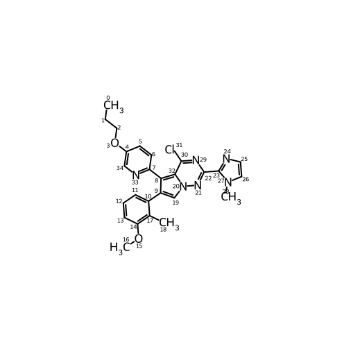 CCCOc1ccc(-c2c(-c3cccc(OC)c3C)cn3nc(-c4nccn4C)nc(Cl)c23)nc1